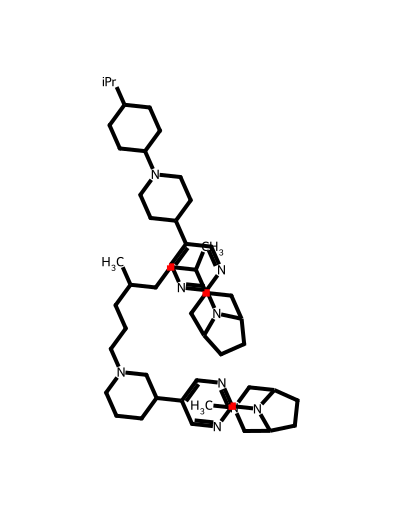 CC(CCCN1CCCC(c2cnc(N3C4CCC3CN(C)C4)nc2)C1)CCC(C)C1CC2CCC(C1)N2c1ncc(C2CCN(C3CCC(C(C)C)CC3)CC2)cn1